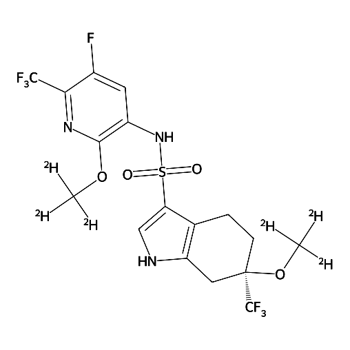 [2H]C([2H])([2H])Oc1nc(C(F)(F)F)c(F)cc1NS(=O)(=O)c1c[nH]c2c1CC[C@](OC([2H])([2H])[2H])(C(F)(F)F)C2